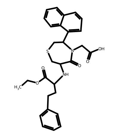 CCOC(=O)C(CCc1ccccc1)NC1CSCC(c2cccc3ccccc23)N(CC(=O)O)C1=O